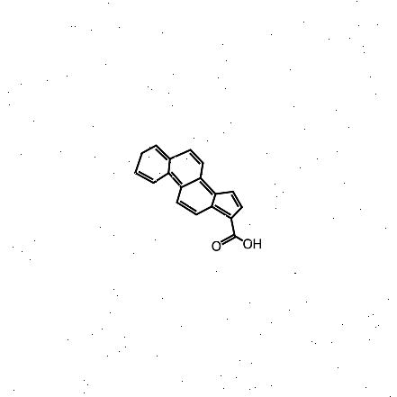 O=C(O)C1=c2ccc3c4c(ccc3c2C=C1)=CCC=C4